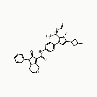 C=C/N=C(/N)c1c(-c2ccc(NC(=O)c3c4n(n(-c5ccccc5)c3=O)CCOC4)cc2)cc(C2CC(C)C2)n1C